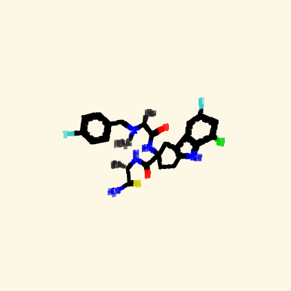 CCC(C)[C@H](NC(=O)[C@@]1(NC(=O)[C@H](C(C)CC)N(Cc2ccc(F)cc2)C(=O)O)CCc2[nH]c3c(Cl)cc(F)cc3c2C1)C(N)=S